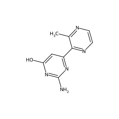 Cc1nccnc1-c1cc(O)nc(N)n1